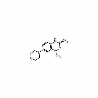 C=C1Nc2ccc(N3CCOCC3)cc2C(C)O1